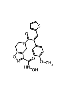 COc1ccc(/C(=C/c2cccs2)C(=O)N2CCc3onc(C(=O)NO)c3C2)cc1